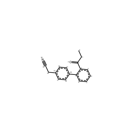 CCC(=O)c1ccccc1-c1ccc(CC#N)cc1